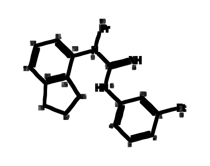 CCc1cccc(NC(=N)N(c2cccc3c2CCC3)C(C)C)c1